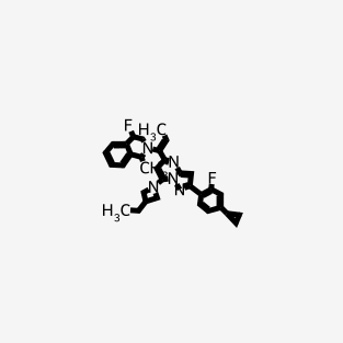 C/C=C(/c1cc(N2CC(CC)C2)n2nc(-c3ccc(C4CC4)cc3F)cc2n1)N1CC(F)c2ccccc2C1C